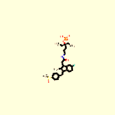 CCC(CC)(CCCNC(=O)CC1=C(C)C(=Cc2ccc([S+](C)[O-])cc2)c2ccc(F)cc21)OP(=O)(O)O